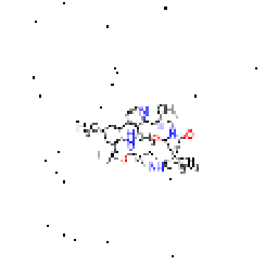 C/C(=C\c1nccc(-c2cc(C)cc(C)c2NC(=O)[C@H]2CCNC2)c1C)CN1C(=O)C2C(C1=O)C2(C)C